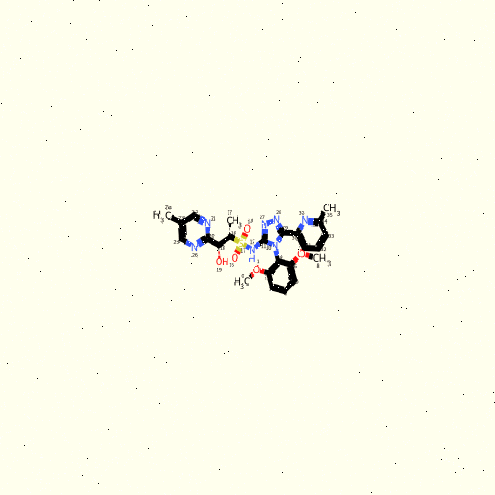 COc1cccc(OC)c1-n1c(NS(=O)(=O)[C@@H](C)[C@H](O)c2ncc(C)cn2)nnc1-c1cccc(C)n1